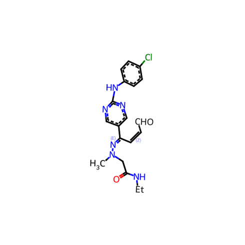 CCNC(=O)CN(C)/N=C(\C=C/C=O)c1cnc(Nc2ccc(Cl)cc2)nc1